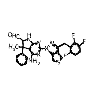 CC1(c2ccccc2)c2c(N)nc(-n3nc(Cc4c(F)ccc(F)c4F)c4cscc43)nc2NC1C=O